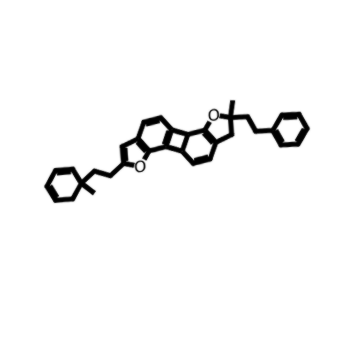 CC1(CCc2cc3ccc4c(c3o2)C2C=CC3=C(OC(C)(CCc5ccccc5)C3)C42)C=CC=CC1